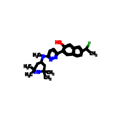 CC(F)c1ccc2cc(-c3ccc(N(C)C4CC(C)(C)NC(C)(C)C4)nn3)c(O)cc2c1